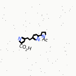 CC(=O)N1CCCC1c1ccc(CCc2cncc(C(=O)O)c2)cn1